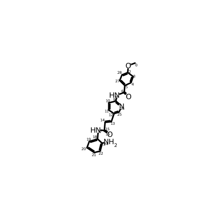 COc1ccc(C(=O)Nc2ccc(/C=C/C(=O)Nc3ccccc3N)cn2)cc1